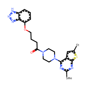 CCc1cc2c(N3CCN(C(=O)CCCOc4cccc5[nH]nnc45)CC3)nc(SC)nc2s1